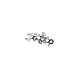 COc1cccc(F)c1NC(=O)c1ncn(-c2nc(C)c(C)[nH]2)c1C(N)=O